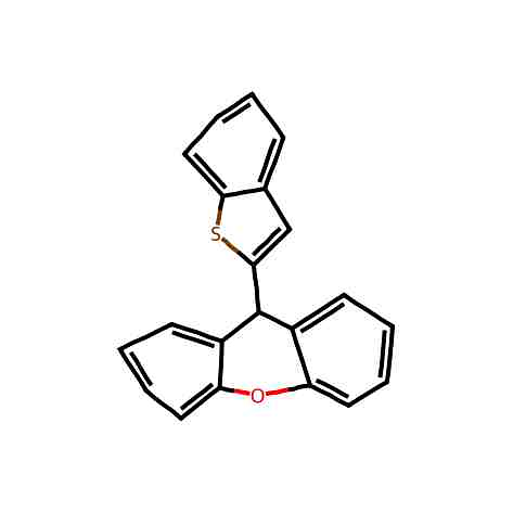 c1ccc2c(c1)Oc1ccccc1C2c1cc2ccccc2s1